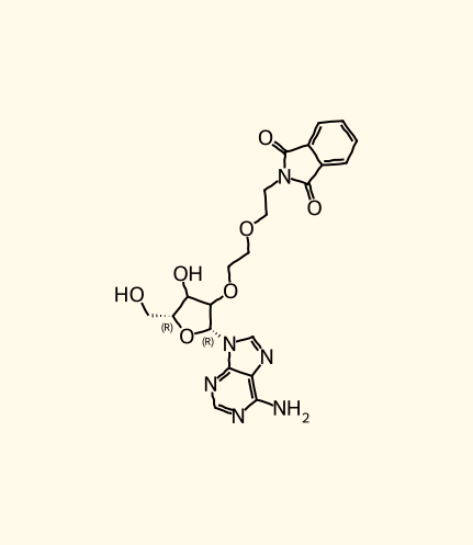 Nc1ncnc2c1ncn2[C@@H]1O[C@H](CO)C(O)C1OCCOCCN1C(=O)c2ccccc2C1=O